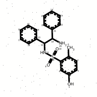 Cc1ccc(O)cc1S(=O)(=O)NC(c1ccccc1)C(N)c1ccccc1